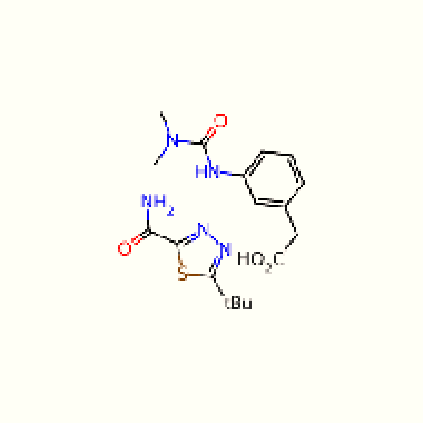 CC(C)(C)c1nnc(C(N)=O)s1.CN(C)C(=O)Nc1cccc(CC(=O)O)c1